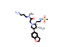 CCCCN(CCCN)C(=O)CN1C[C@H](c2ccc3c(c2)CCO3)[C@@H](C(=O)O)[C@@H]1CCNS(C)(=O)=O